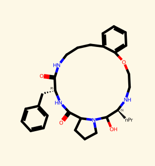 CCC[C@@H]1NCCOc2ccccc2CCCNC(=O)[C@@H](Cc2ccccc2)NC(=O)C2CCCN2C1O